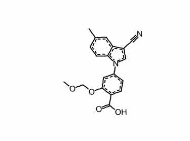 COCOc1cc(-n2cc(C#N)c3cc(C)ccc32)ccc1C(=O)O